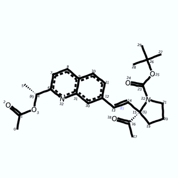 CC(=O)O[C@H](C)c1ccc2ccc(/C=C/[C@]3(C(C)=O)CCCN3C(=O)OC(C)(C)C)cc2n1